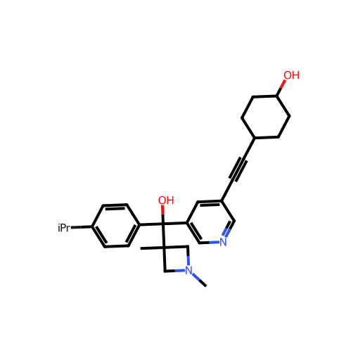 CC(C)c1ccc(C(O)(c2cncc(C#CC3CCC(O)CC3)c2)C2(C)CN(C)C2)cc1